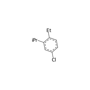 CCc1ccc(Cl)cc1C(C)C